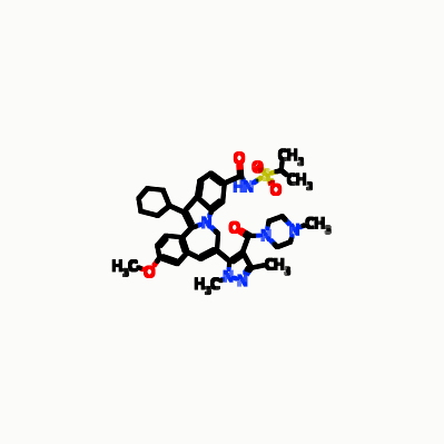 COc1ccc2c(c1)C=C(c1c(C(=O)N3CCN(C)CC3)c(C)nn1C)Cn1c-2c(C2CCCCC2)c2ccc(C(=O)NS(=O)(=O)C(C)C)cc21